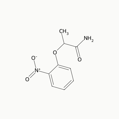 CC(Oc1ccccc1[N+](=O)[O-])C(N)=O